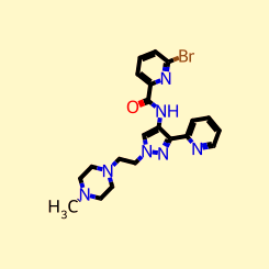 CN1CCN(CCn2cc(NC(=O)c3cccc(Br)n3)c(-c3ccccn3)n2)CC1